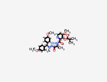 COc1ccc(C(c2ccc(OC)cc2)N(C)NC(=O)[C@H](C)NC(=O)c2nccc(OC)c2OC(=O)C(C)C)cc1